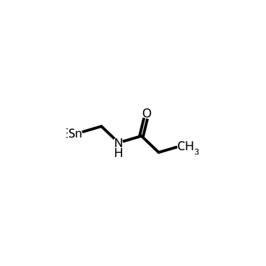 CCC(=O)N[CH2][Sn]